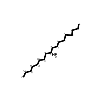 CCCCCCCCCCCCCCCCCC.F